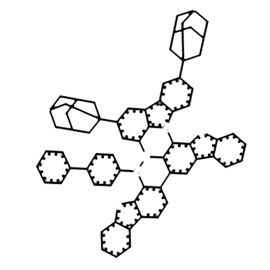 c1ccc(-c2ccc(N3B4c5c(cc6c(sc7ccccc76)c5-n5c6ccc(C78CC9CC(CC(C9)C7)C8)cc6c6cc(C78CC9CC(CC(C9)C7)C8)cc4c65)-c4ccc5c(sc6ccccc65)c43)cc2)cc1